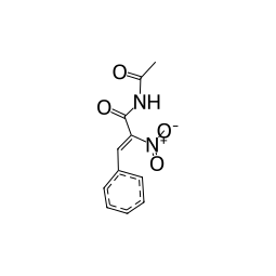 CC(=O)NC(=O)C(=Cc1ccccc1)[N+](=O)[O-]